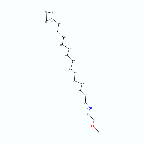 COCCNCCCCCCCCCCCCCCC1CCC1